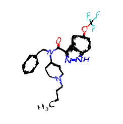 CCCCN1CCC(N(Cc2ccccc2)C(=O)c2n[nH]c3ccc(OC(F)(F)F)cc23)CC1